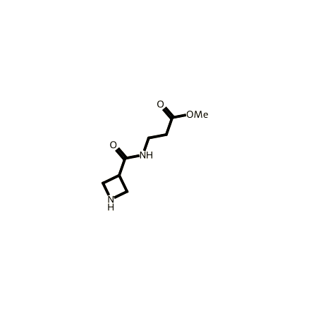 COC(=O)CCNC(=O)C1CNC1